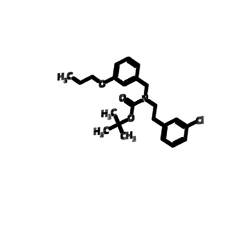 CCCOc1cccc(CN(CCc2cccc(Cl)c2)C(=O)OC(C)(C)C)c1